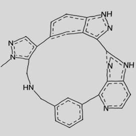 Cn1ncc2c1CNCc1cccc(c1)-c1nccc3[nH]c(nc13)-c1n[nH]c3ccc-2cc13